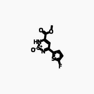 COC(=O)C1=CC(c2ccc(F)s2)=N[S+]([O-])N1